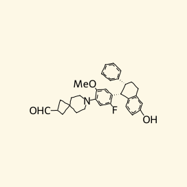 COc1cc([C@H]2c3ccc(O)cc3CC[C@H]2c2ccccc2)c(F)cc1N1CCC2(CC1)CC(C=O)C2